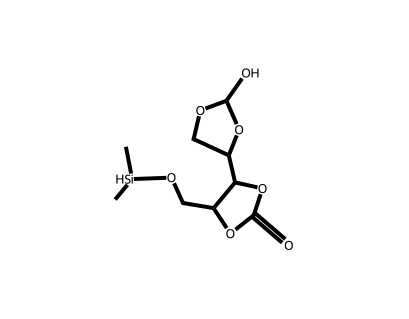 C[SiH](C)OCC1OC(=O)OC1C1COC(O)O1